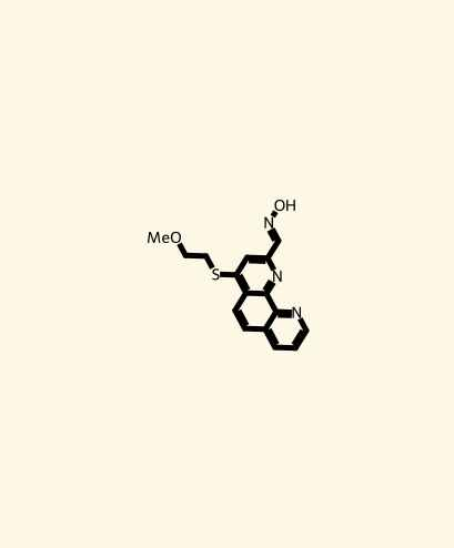 COCCSc1cc(/C=N/O)nc2c1ccc1cccnc12